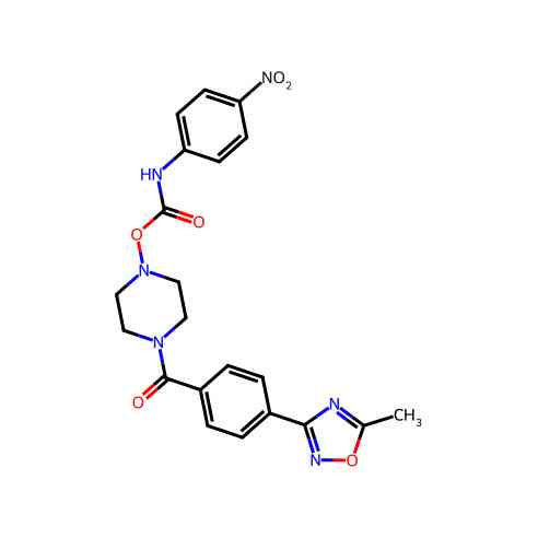 Cc1nc(-c2ccc(C(=O)N3CCN(OC(=O)Nc4ccc([N+](=O)[O-])cc4)CC3)cc2)no1